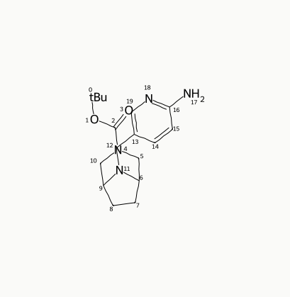 CC(C)(C)OC(=O)N1CC2CCC(C1)N2Cc1ccc(N)nc1